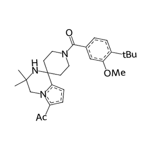 COc1cc(C(=O)N2CCC3(CC2)NC(C)(C)Cn2c(C(C)=O)ccc23)ccc1C(C)(C)C